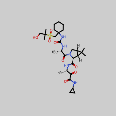 CCC[C@H](NC(=O)[C@@H]1[C@@H]2[C@H](CN1C(=O)[C@@H](NC(=O)NC1(CS(=O)(=O)C(C)(C)CO)CCCCC1)C(C)(C)C)C2(C)C)C(=O)C(=O)NC1CC1